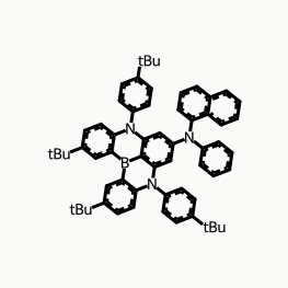 CC(C)(C)c1ccc(N2c3ccc(C(C)(C)C)cc3B3c4cc(C(C)(C)C)ccc4N(c4ccc(C(C)(C)C)cc4)c4cc(N(c5ccccc5)c5cccc6ccccc56)cc2c43)cc1